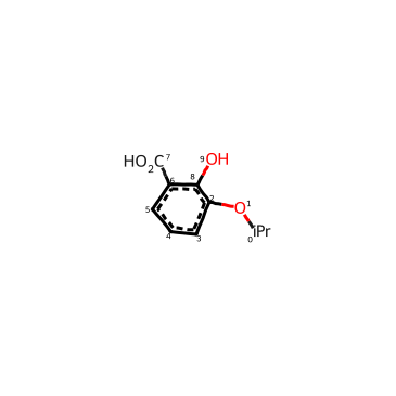 CC(C)Oc1cccc(C(=O)O)c1O